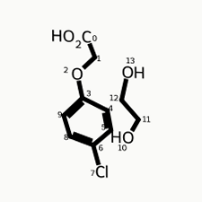 O=C(O)COc1ccc(Cl)cc1.OCCO